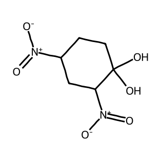 O=[N+]([O-])C1CCC(O)(O)C([N+](=O)[O-])C1